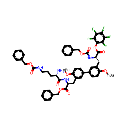 CCCCOc1ccc(-c2ccc(OCCCC)c(C[C@H](NC(=O)OCc3ccccc3)C(=O)Oc3c(F)c(F)c(F)c(F)c3F)c2)cc1C[C@H](NC(=O)[C@@H](N)CCCNC(=O)OCc1ccccc1)C(=O)OCc1ccccc1